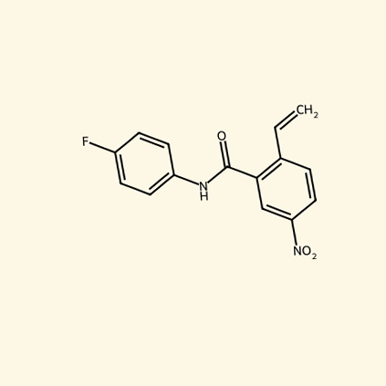 C=Cc1ccc([N+](=O)[O-])cc1C(=O)Nc1ccc(F)cc1